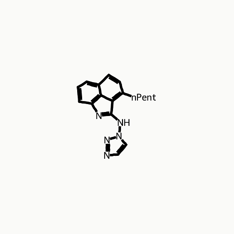 CCCCCc1ccc2cccc3c2c1C(Nn1ccnn1)=N3